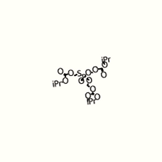 CC(C)OC(=O)OCOP(=O)(OCOC(=O)OC(C)C)SCOC(=O)OC(C)C